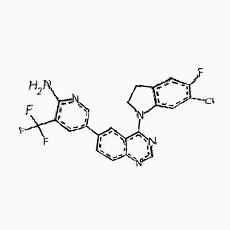 Nc1ncc(-c2ccc3ncnc(N4CCc5cc(F)c(Cl)cc54)c3c2)cc1C(F)(F)F